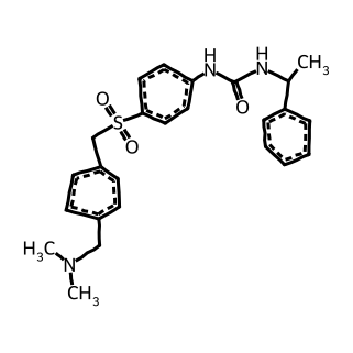 CC(NC(=O)Nc1ccc(S(=O)(=O)Cc2ccc(CN(C)C)cc2)cc1)c1ccccc1